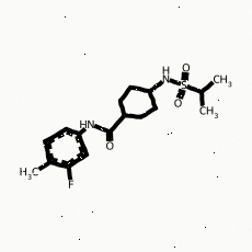 Cc1ccc(NC(=O)C2CCC(NS(=O)(=O)C(C)C)CC2)cc1F